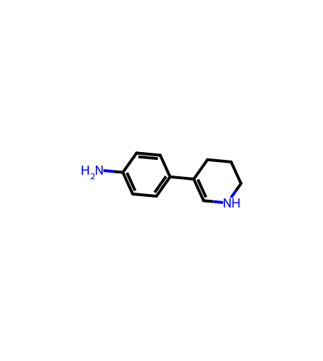 Nc1ccc(C2=CNCCC2)cc1